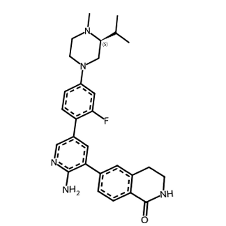 CC(C)[C@H]1CN(c2ccc(-c3cnc(N)c(-c4ccc5c(c4)CCNC5=O)c3)c(F)c2)CCN1C